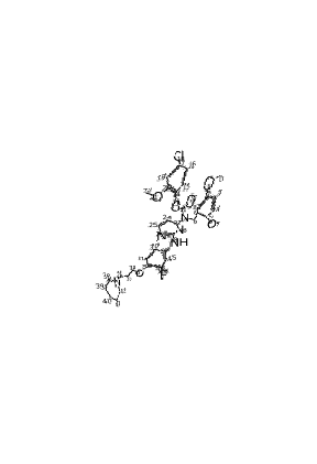 COc1ccc(OC)c(CN(C(=O)Oc2ccc(Cl)cc2OC)c2ccnc(Nc3ccc(OCCCN4CCCCC4)c(F)c3)n2)c1